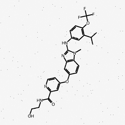 CC(C)c1cc(Nc2nc3cc(Oc4ccnc(C(=O)NCCO)c4)ccc3n2C)ccc1OC(F)(F)F